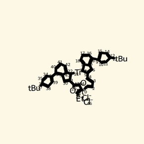 CCc1ccc(C2=Cc3c(-c4ccc(C(C)(C)C)cc4)cccc3[CH]2[Ti+2][CH]2C(c3ccc(CC)o3)=Cc3c(-c4ccc(C(C)(C)C)cc4)cccc32)o1.[Cl-].[Cl-]